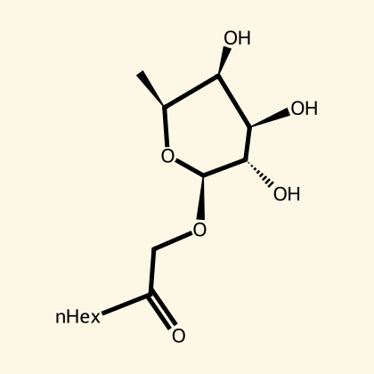 CCCCCCC(=O)CO[C@H]1O[C@@H](C)[C@@H](O)[C@@H](O)[C@@H]1O